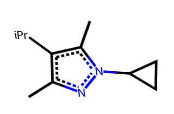 Cc1nn(C2CC2)c(C)c1C(C)C